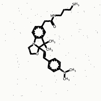 CN(C)c1ccc(/C=C/C23OCCN2c2ccc(CC(=O)NCCC[SiH3])cc2C3(C)C)cc1